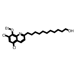 CCOc1c(Cl)cc(Cl)c2ccc(CCCCCCCCCCCO)nc12